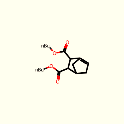 CCCCOC(=O)C1C2=CCC(C2)C1C(=O)OCCCC